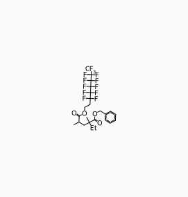 CCC(C)(CC(C)C(=O)OCCC(F)(F)C(F)(F)C(F)(F)C(F)(F)C(F)(F)C(F)(F)F)C(=O)OCc1ccccc1